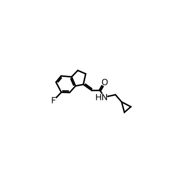 O=C(C=C1CCc2ccc(F)cc21)NCC1CC1